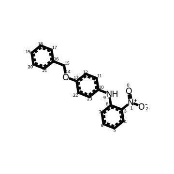 O=[N+]([O-])c1ccccc1Nc1ccc(OCc2ccccc2)cc1